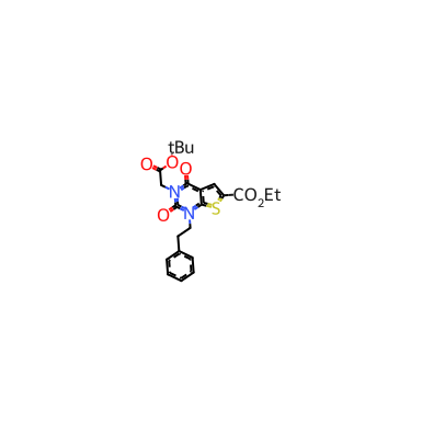 CCOC(=O)c1cc2c(=O)n(CC(=O)OC(C)(C)C)c(=O)n(CCc3ccccc3)c2s1